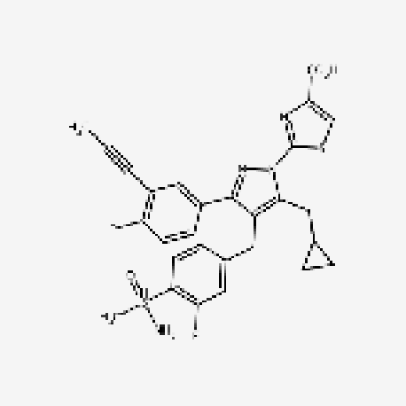 CC#Cc1cc(-c2nn(-c3nc(C(=O)O)cs3)c(CC3CC3)c2Cc2ccc([SH](C)(N)=O)c(F)c2)ccc1F